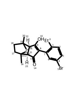 CCc1ccc(Br)cc1C1=C(O)[C@H]2[C@@H](C1=O)C1(C)CCC2(C)O1